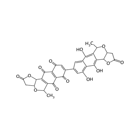 CC1OC2CC(=O)OC2c2c1c(O)c1cc(-c3cc(=O)c4c(=O)c5c(c(=O)c=4c3=O)C(C)OC3CC(=O)OC53)cc(O)c1c2O